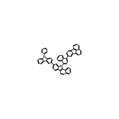 c1ccc(-n2c3ccccc3c3cc(-c4ccc5c6ccc7ccccc7c6n(-c6ccc(-c7ccc8c(c7)-c7cccc9cccc-8c79)c7ccccc67)c5c4)ccc32)cc1